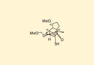 COCO[C@@H]1CC(S)C(=O)[C@H](C)C23CC[C@H]4C[C@]41C2[C@H](OC)CC3